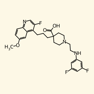 COc1ccc2ncc(F)c(CCCC3(C(=O)O)CCN(CCNc4cc(F)cc(F)c4)CC3)c2c1